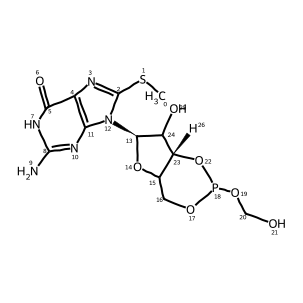 CSc1nc2c(=O)[nH]c(N)nc2n1[C@@H]1OC2COP(OCO)O[C@H]2C1O